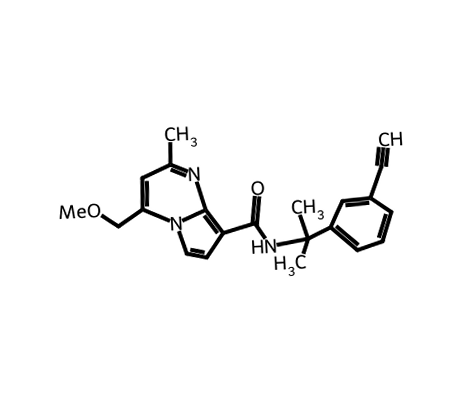 C#Cc1cccc(C(C)(C)NC(=O)c2ccn3c(COC)cc(C)nc23)c1